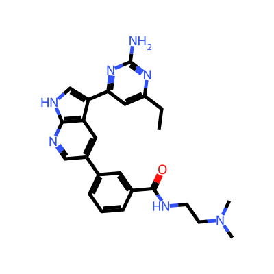 CCc1cc(-c2c[nH]c3ncc(-c4cccc(C(=O)NCCN(C)C)c4)cc23)nc(N)n1